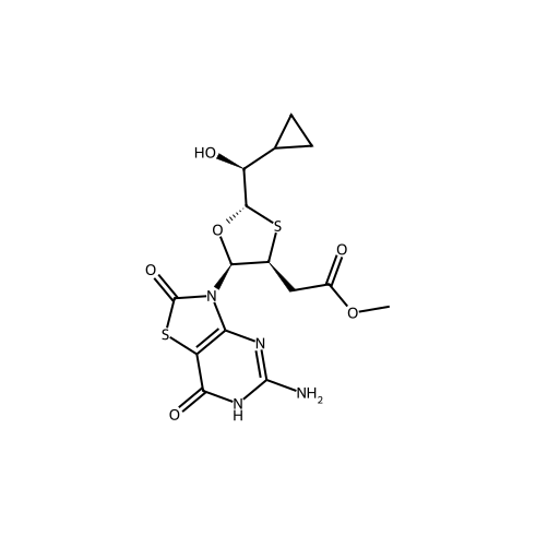 COC(=O)C[C@@H]1S[C@@H]([C@@H](O)C2CC2)O[C@@H]1n1c(=O)sc2c(=O)[nH]c(N)nc21